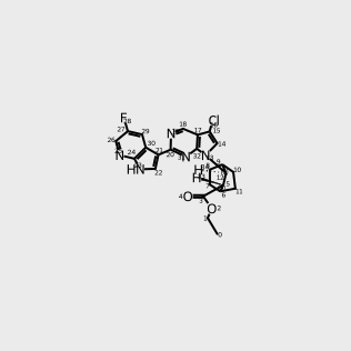 CCOC(=O)[C@H]1C2CCC(CC2)[C@@H]1n1cc(Cl)c2cnc(-c3c[nH]c4ncc(F)cc34)nc21